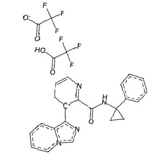 O=C(NC1(c2ccccc2)CC1)C1=NC=CC[C+]1c1ncn2ccccc12.O=C(O)C(F)(F)F.O=C([O-])C(F)(F)F